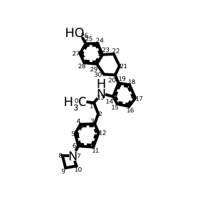 CC(Cc1ccc(N2CCC2)cc1)Nc1ccccc1C1CCc2cc(O)ccc2C1